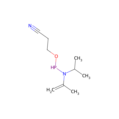 C=C(C)N(POCCC#N)C(C)C